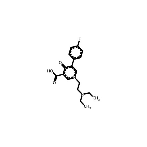 CCN(CC)CCn1cc(C(=O)O)c(=O)c(-c2ccc(F)cc2)c1